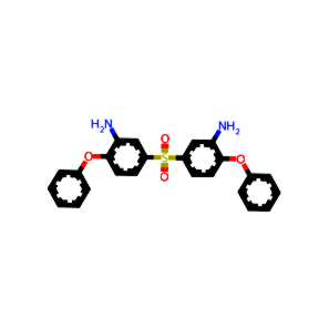 Nc1cc(S(=O)(=O)c2ccc(Oc3ccccc3)c(N)c2)ccc1Oc1ccccc1